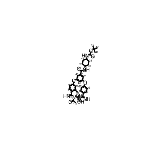 CC(=O)N(O)C(=N)c1ccc(Oc2cc(Oc3ccc(C(=N)NO)cc3)cc(C(=O)NC3CCC(NC(=O)OC(C)(C)C)CC3)c2)cc1C